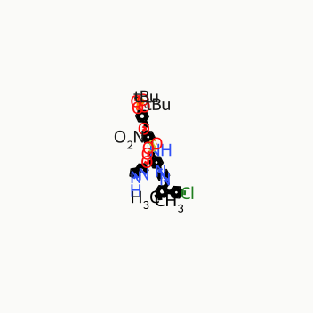 CC1(C)CCC(CN2CCN(c3ccc(C(=O)NS(=O)(=O)c4ccc(OCC5CCC(OP(=O)(OC(C)(C)C)OC(C)(C)C)CC5)c([N+](=O)[O-])c4)c(Oc4cnc5[nH]ccc5c4)c3)CC2)=C(c2ccc(Cl)cc2)C1